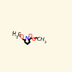 CCOC(=O)c1cccc(COC)n1